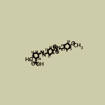 COc1ccc(CNS(=O)(=O)c2ccc(N=Nc3ccc(O)c(C(=O)O)c3)cc2)cc1